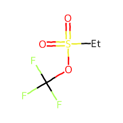 CCS(=O)(=O)OC(F)(F)F